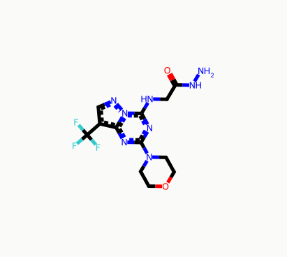 NNC(=O)CNc1nc(N2CCOCC2)nc2c(C(F)(F)F)cnn12